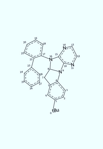 CC(C)(C)c1ccc2c(c1)CC1N2c2nccnc2N1c1ccccc1-c1ccccc1